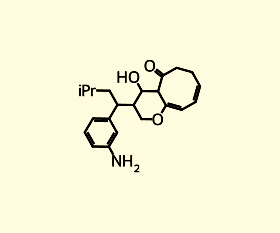 CC(C)CC(c1cccc(N)c1)C1COC2=CC=CCCC(=O)C2C1O